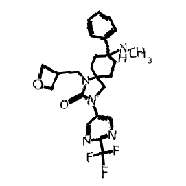 CNC1(c2ccccc2)CCC2(CC1)CN(c1cnc(C(F)(F)F)nc1)C(=O)N2CC1COC1